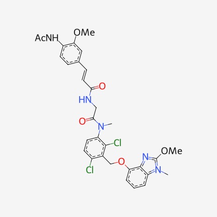 COc1cc(C=CC(=O)NCC(=O)N(C)c2ccc(Cl)c(COc3cccc4c3nc(OC)n4C)c2Cl)ccc1NC(C)=O